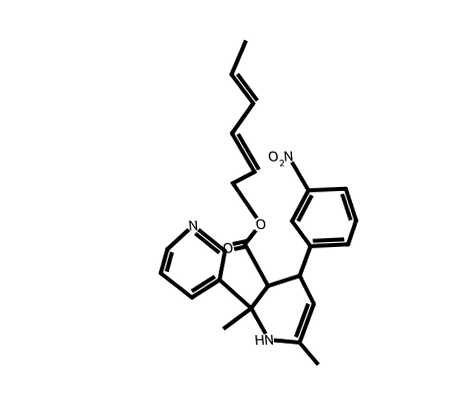 CC=CC=CCOC(=O)C1C(c2cccc([N+](=O)[O-])c2)C=C(C)NC1(C)c1cccnc1